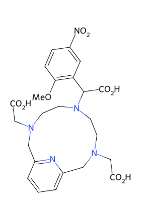 COc1ccc([N+](=O)[O-])cc1C(C(=O)O)N1CCN(CC(=O)O)Cc2cccc(n2)CN(CC(=O)O)CC1